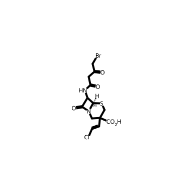 O=C(CBr)CC(=O)NC1C(=O)N2CC(C=CCl)(C(=O)O)CS[C@H]12